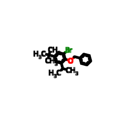 CC(C)c1cc(C(C)(C)C)cc(Br)c1OCc1ccccc1